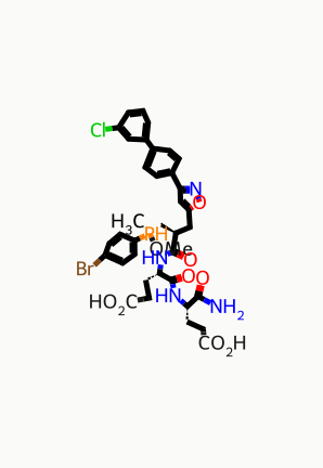 CO[PH](C)(C[C@@H](Cc1cc(-c2ccc(-c3cccc(Cl)c3)cc2)no1)C(=O)N[C@@H](CCC(=O)O)C(=O)N[C@@H](CCC(=O)O)C(N)=O)c1ccc(Br)cc1